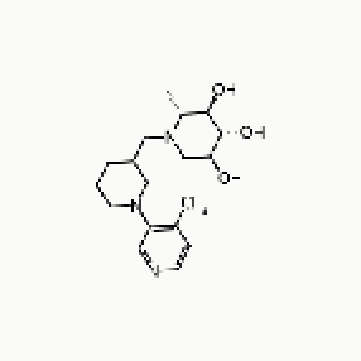 C[C@@H]1[C@@H](O)[C@H](O)[C@@H](O)CN1CC1CCCN(c2cnccc2C(F)(F)F)C1